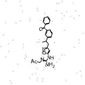 CC(=O)CN=C(N)Nc1cc(CC(C)c2cccc(C(=O)c3ccccc3)c2)no1